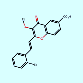 CCOc1c(/C=C/c2ccccc2CC)oc2ccc(C(=O)O)cc2c1=O